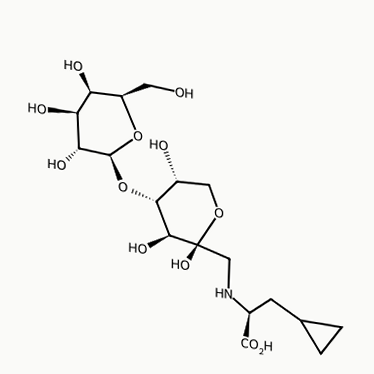 O=C(O)[C@H](CC1CC1)NC[C@@]1(O)OC[C@@H](O)[C@@H](O[C@@H]2O[C@H](CO)[C@H](O)[C@H](O)[C@H]2O)[C@@H]1O